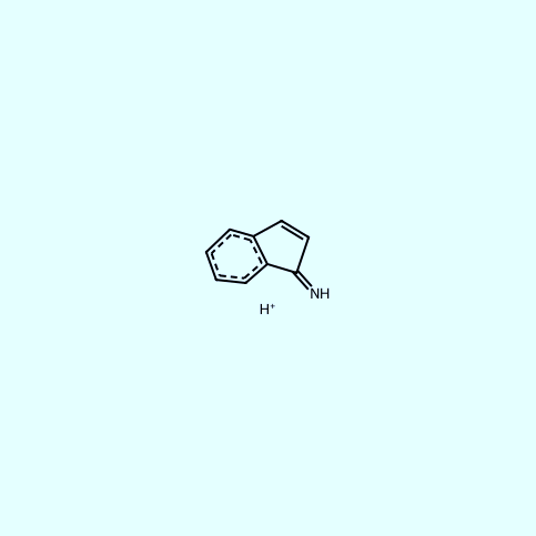 N=C1C=Cc2ccccc21.[H+]